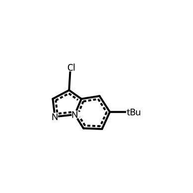 CC(C)(C)c1ccn2ncc(Cl)c2c1